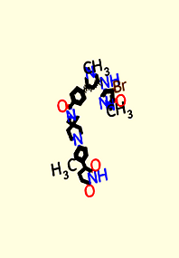 Cc1cc(N2CCC3(CC2)CN(C(=O)c2ccc([C@H]4C[C@@H](Nc5cnn(C)c(=O)c5Br)CN(C)C4)cc2)C3)ccc1C1CCC(=O)NC1=O